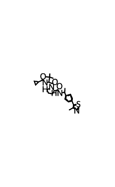 Cc1ncsc1-c1ccc(C(C)NC(=O)C2CCCN2C(=O)C(NC(=O)C2CC2)C(C)(C)C)cc1